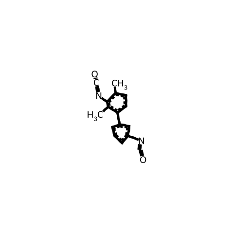 Cc1ccc(-c2cccc(N=C=O)c2)c(C)c1N=C=O